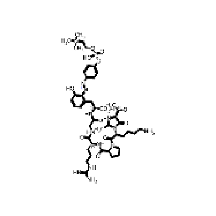 CC1NC([C@@H](C)O)C(=O)N1C(CCCCN)C(=O)N1CCCC1C(=O)N[C@@H](CCCNC(=N)N)C(=O)NCC(=O)N[C@@H](Cc1cccc(O)c1/N=N/c1ccc(OP(=O)(O)OCC[N+](C)(C)C)cc1)C(=O)O